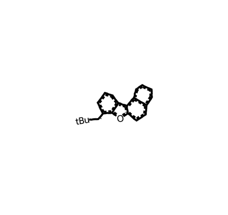 CC(C)(C)[CH]c1cccc2c1oc1ccc3ccccc3c12